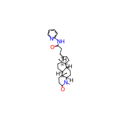 CN1C(=O)CC[C@]2(C)[C@H]3CC[C@]4(C)[C@@H](CCC(=O)Nc5ccccn5)CC[C@H]4[C@@H]3CC[C@@H]12